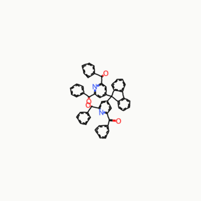 O=C(c1ccccc1)c1cc(C2(c3cc(C(=O)c4ccccc4)nc(C(=O)c4ccccc4)c3)c3ccccc3-c3ccccc32)cc(C(=O)c2ccccc2)n1